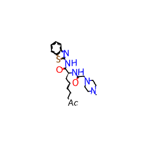 CC(=O)CCCCC[C@H](NC(=O)CN1CCN(C)CC1)C(=O)Nc1nc2ccccc2s1